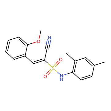 COc1ccccc1C=C(C#N)S(=O)(=O)Nc1ccc(C)cc1C